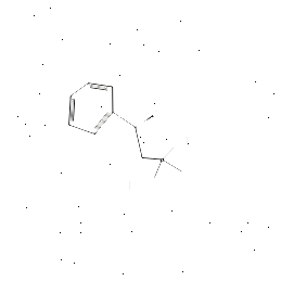 CC(C)(C)C[C@H](O)c1ccccc1